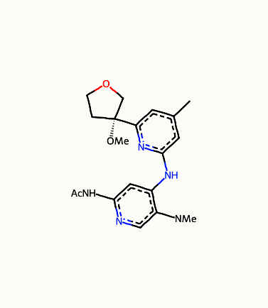 CNc1cnc(NC(C)=O)cc1Nc1cc(C)cc([C@@]2(OC)CCOC2)n1